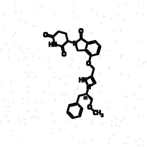 COC[C@@H](Cc1ccccc1)n1cc(COc2cccc3c2CN(C2CCC(=O)NC2=O)C3=O)[nH]1